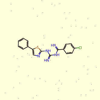 N=C(NC(=N)c1ccc(Cl)cc1)Nc1ncc(-c2ccccc2)s1